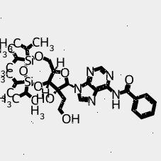 CC(C)[Si]1(C(C)C)OC[C@H]2O[C@@H](n3cnc4c(NC(=O)c5ccccc5)ncnc43)[C@](O)(CCO)[C@@H]2O[Si](C(C)C)(C(C)C)O1